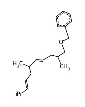 CC(C)C=CCC(C)C=CCC(C)COCc1ccccc1